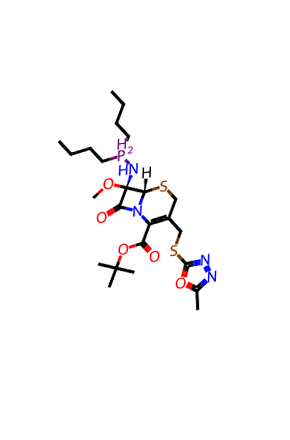 CCCC[PH2](CCCC)N[C@]1(OC)C(=O)N2C(C(=O)OC(C)(C)C)=C(CSc3nnc(C)o3)CS[C@H]21